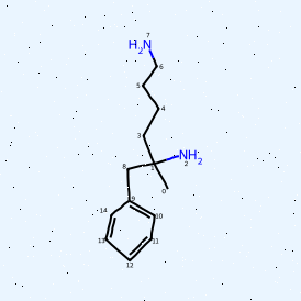 CC(N)(CCCCN)Cc1ccccc1